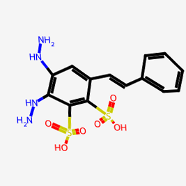 NNc1cc(C=Cc2ccccc2)c(S(=O)(=O)O)c(S(=O)(=O)O)c1NN